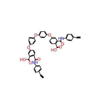 C#Cc1ccc(NC(=O)c2ccc(Oc3ccc(Oc4ccc(Oc5ccc(C(=O)O)c(C(=O)Nc6ccc(C#C)cc6)c5)cc4)cc3)cc2C(=O)O)cc1